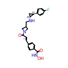 O=C(NO)c1ccc(/C=C/C(=O)N2CC(CN[C@@H]3C[C@H]3c3ccc(F)cc3)C2)cc1